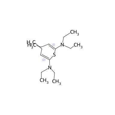 CC/C=C(\S/C(=C\CC)N(CC)CC)N(CC)CC